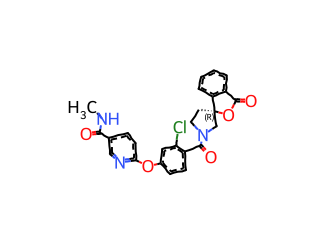 CNC(=O)c1ccc(Oc2ccc(C(=O)N3CC[C@@]4(C3)OC(=O)c3ccccc34)c(Cl)c2)nc1